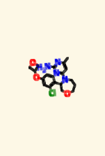 Cc1cc(N2CCCOC[C@H]2c2ccc(OC3COC3)cc2Cl)nc(N)n1